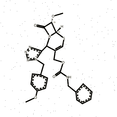 COc1ccc(Cn2nnnc2C2C(COC(=O)NCc3ccccc3)=CS[C@H]3[C@@H](OC)C(=O)N23)cc1